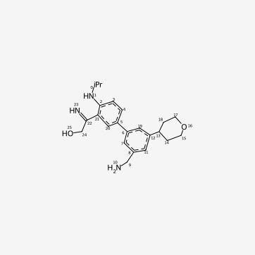 CC(C)Nc1ccc(-c2cc(CN)cc(C3CCOCC3)c2)cc1C(=N)CO